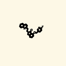 O=C1c2c(cccc2OCc2ccc(F)nc2)CN1CCc1ccc2ccccc2n1